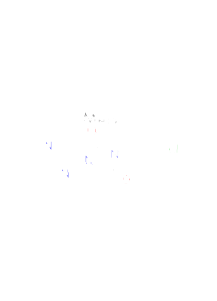 COc1ccc(Cl)cc1N1C(=O)CN(c2cnccn2)C1=O